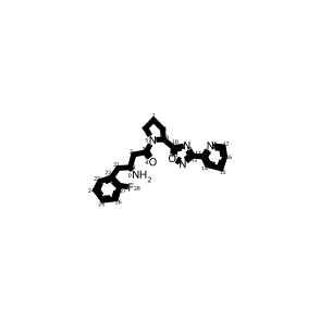 NC(CC(=O)N1CCCC1c1nc(-c2ccccn2)no1)Cc1ccccc1F